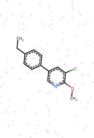 CCc1ccc(-c2cnc(OC)c(Cl)c2)cc1